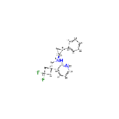 FC1(F)CC(CN[C@H]2CC2c2ccccc2)(c2cccnc2)C1